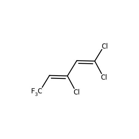 FC(F)(F)C=C(Cl)C=C(Cl)Cl